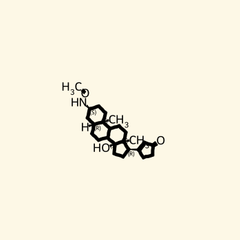 CON[C@H]1CC[C@]2(C)C3CC[C@]4(C)[C@@H](C5=CC(=O)CC5)CC[C@]4(O)C3CC[C@@H]2C1